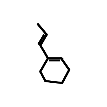 CC=CC1=[C]CCCC1